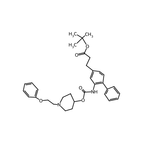 CC(C)(C)OC(=O)CCc1ccc(-c2ccccc2)c(NC(=O)OC2CCN(CCOc3ccccc3)CC2)c1